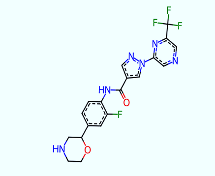 O=C(Nc1ccc(C2CNCCO2)cc1F)c1cnn(-c2cncc(C(F)(F)F)n2)c1